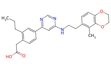 CCCc1cc(-c2cc(NCCc3ccc4c(c3C)OCCO4)ncn2)ccc1CC(=O)O